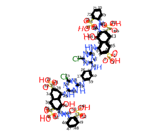 O=S(=O)(O)c1cc(Nc2nc(Cl)nc(Nc3ccc(Nc4nc(Cl)nc(Nc5cc(S(=O)(=O)O)cc6cc(S(=O)(=O)O)c(N=Nc7ccccc7S(=O)(=O)O)c(O)c56)n4)cc3)n2)c2c(O)c(N=Nc3ccccc3S(=O)(=O)O)c(S(=O)(=O)O)cc2c1